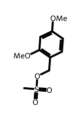 COc1ccc(COS(C)(=O)=O)c(OC)c1